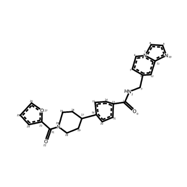 O=C(NCc1ccn2ccnc2c1)c1ccc(C2CCN(C(=O)c3ccco3)CC2)cc1